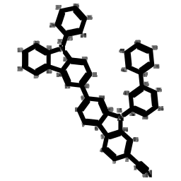 N#Cc1ccc2c3ccc(-c4ccc5c(c4)c4ccccc4n5-c4ccccc4)cc3n(-c3cccc(-c4ccccc4)c3)c2c1